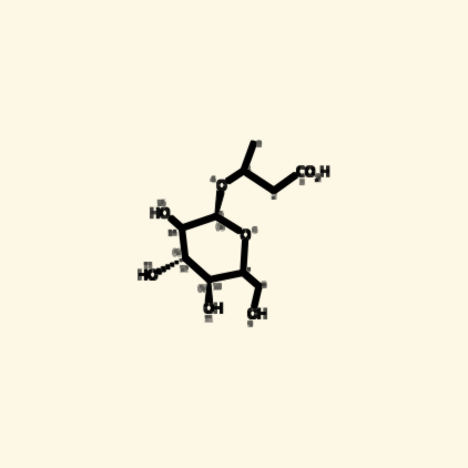 CC(CC(=O)O)O[C@H]1OC(CO)[C@@H](O)[C@H](O)C1O